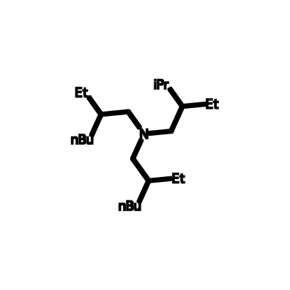 CCCCC(CC)CN(CC(CC)CCCC)CC(CC)C(C)C